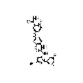 CC(C)c1cc(NC(=O)Nc2ccc(Oc3ccnc(C(N)=O)c3)cc2F)n(-c2cncc(F)c2)n1